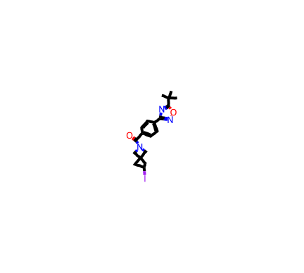 CC(C)(C)c1nc(-c2ccc(C(=O)N3CC4(CC(I)C4)C3)cc2)no1